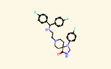 O=C1NCN(c2ccc(F)cc2)C12CCN(CCNC(c1ccc(F)cc1)c1ccc(F)cc1)CC2